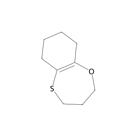 C1COC2=C(CCCC2)SC1